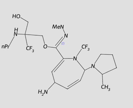 CCCNC(CO)(CO/C(=N\NC)C1=CC(N)C=CC(N2CCCC2C)N1C(F)(F)F)C(F)(F)F